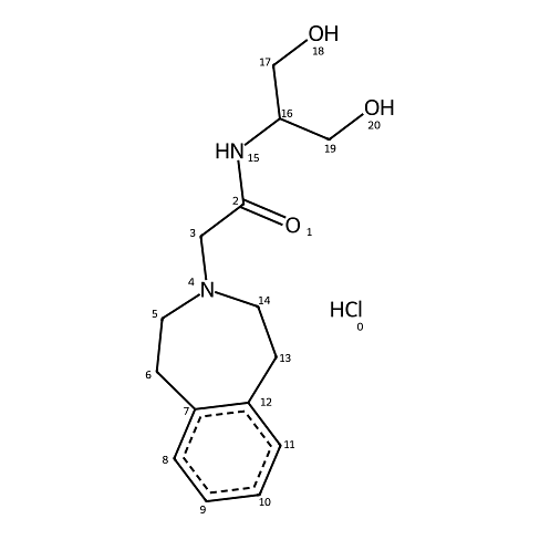 Cl.O=C(CN1CCc2ccccc2CC1)NC(CO)CO